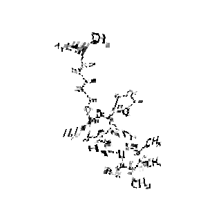 CC[C@H](C)C1O[C@H](O[C@H]2C([C@H]3COCO3)O[C@](C)(OCCCCCN(C)C)C[C@H]2C)C(C)[C@@H](C)[C@@H]1C